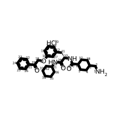 Cl.NCC1CCC(C(=O)N[C@@H](Cc2cccc(OCC(=O)c3ccccc3)c2)C(=O)NC2CCCCC2)CC1